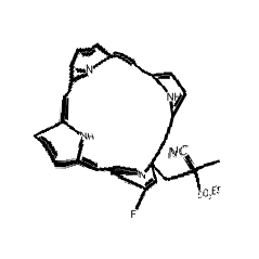 CCOC(=O)C(C)(C#N)CC12C=C(F)C(=N1)C=c1ccc([nH]1)=CC1=NC(=Cc3ccc([nH]3)C2)C=C1